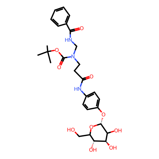 CC(C)(C)OC(=O)N(CCC(=O)Nc1ccc(O[C@H]2OC(CO)[C@@H](O)[C@H](O)C2O)cc1)CNC(=O)c1ccccc1